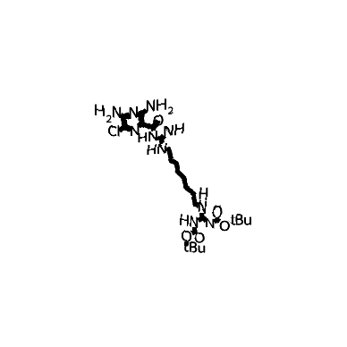 CC(C)(C)OC(=O)/N=C(\NCCCCCCCCNC(=N)NC(=O)c1nc(Cl)c(N)nc1N)NC(=O)OC(C)(C)C